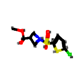 COC(=O)C1CN(S(=O)(=O)c2ccc(Cl)s2)C1